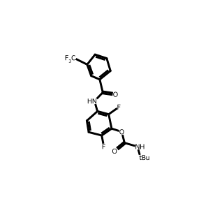 CC(C)(C)NC(=O)Oc1c(F)ccc(NC(=O)c2cccc(C(F)(F)F)c2)c1F